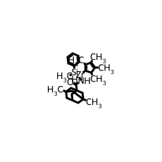 CC1=C(C)C(C)[C]([Zr]([NH]C(=O)C23CC4CC(C)(CC(C)(C4)C2)C3)[SiH](C)c2ccccc2)=C1C